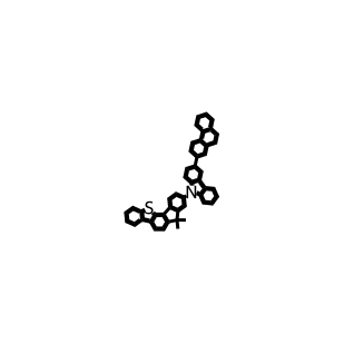 CC1(C)c2cc(-n3c4ccccc4c4cc(-c5ccc6c(ccc7ccccc76)c5)ccc43)ccc2-c2c1ccc1c2sc2ccccc21